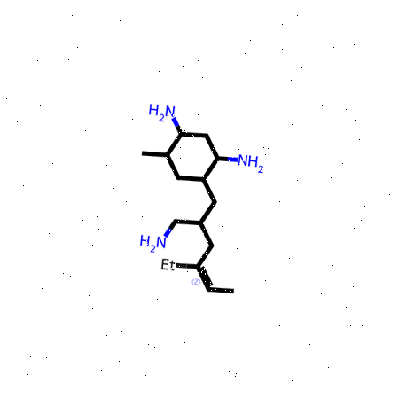 C/C=C(/CC)CC(CN)CC1CC(C)C(N)CC1N